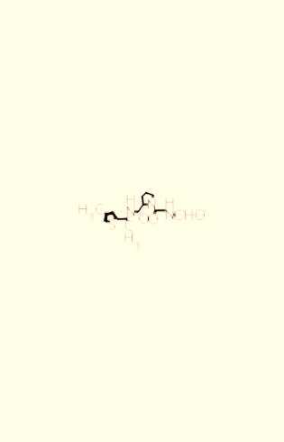 Cc1csc([C@@H](C)NC(=O)C2CCCN2C(=O)CNC=O)c1